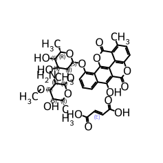 CO[C@@H]1[C@@H](N)[C@@H](O[C@H]2[C@H](Oc3cccc4c(O)c5c(=O)oc6ccc(C)c7c(=O)oc(c34)c5c67)O[C@H](C)[C@H](O)[C@]2(C)O)O[C@H](C)[C@@H]1O.O=C(O)/C=C/C(=O)O